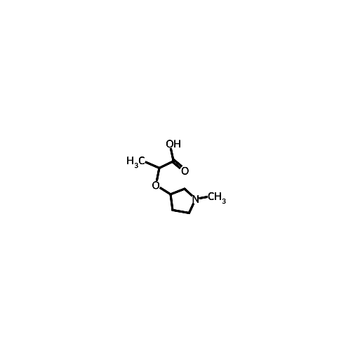 CC(OC1CCN(C)C1)C(=O)O